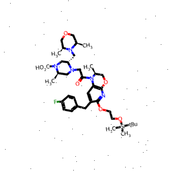 C[C@@H]1CN(CC(=O)N2c3cc(Cc4ccc(F)cc4)c(OCCO[Si](C)(C)C(C)(C)C)nc3OC[C@@H]2C)[C@@H](CN2[C@H](C)COC[C@H]2C)CN1C(=O)O